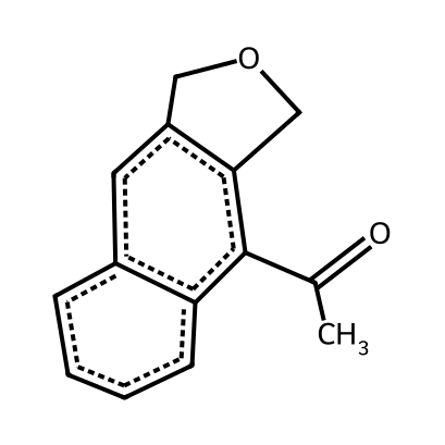 CC(=O)c1c2c(cc3ccccc13)COC2